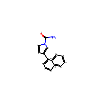 NC(=O)n1ccc(-c2cccc3ccccc23)c1